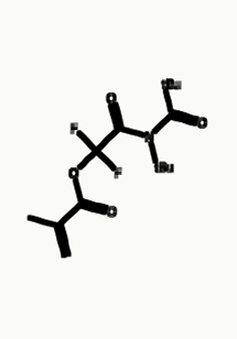 C=C(C)C(=O)OC(F)(F)C(=O)N(C(=O)C(C)(C)C)C(C)(C)C